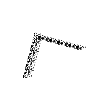 O=S(=O)(O)O.[Ba+2].[Ba+2].[Ba+2].[Ba+2].[Ba+2].[Ba+2].[Ba+2].[Ba+2].[Ba+2].[Ba+2].[Ba+2].[Ba+2].[Ba+2].[Ba+2].[Ba+2].[Ba+2].[Ba+2].[Ba+2].[Ba+2].[Ba+2].[Ba+2].[Ba+2].[Ba+2].[Ba+2].[Ba+2].[Ba+2].[Ba+2].[Ba+2].[Ba+2].[Ba+2]